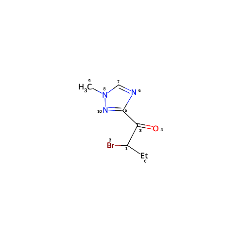 CCC(Br)C(=O)c1ncn(C)n1